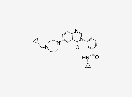 Cc1ccc(C(=O)NC2CC2)cc1-n1cnc2ccc(N3CCCN(CC4CC4)CC3)cc2c1=O